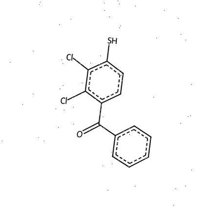 O=C(c1ccccc1)c1ccc(S)c(Cl)c1Cl